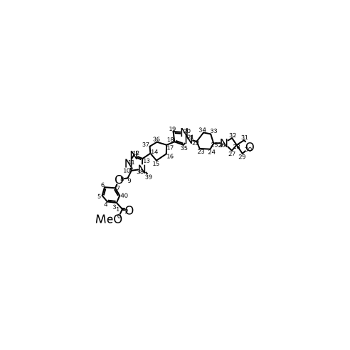 COC(=O)c1cccc(OCc2nnc(C3CCC(c4cnn(C5CCC(N6CC7(COC7)C6)CC5)c4)CC3)n2C)c1